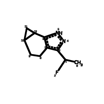 CC(F)c1n[nH]c2c1CCC1CC21